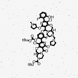 CN1CC[C@H](Oc2nc(-c3c(O)cccc3F)c(Cl)c3c2C(=O)N2CCN(CN4CC[C@H](Oc5nc(-c6c(F)cccc6OC(=O)OC(C)(C)C)c(Cl)c6c5C(=O)N5CCN(C(=O)OC(C)(C)C)C[C@@H]5CO6)C4)C[C@@H]2CO3)C1